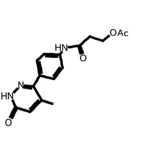 CC(=O)OCCC(=O)Nc1ccc(-c2n[nH]c(=O)cc2C)cc1